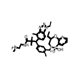 CCC1CN(Cc2cc(C(c3ccc4c(nnn4CC)c3C)C(C)(C)C(=O)NCCNC)ccc2C)S(O)(O)c2cccnc2O1